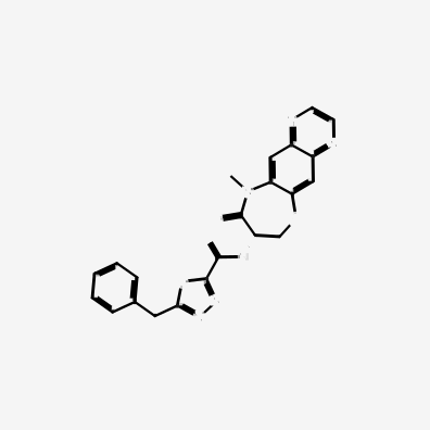 CN1C(=O)[C@@H](NC(=O)c2nnc(Cc3ccccc3)o2)COc2cc3nccnc3cc21